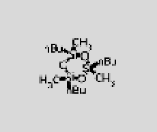 CCCC[Si]1(C)O[Si](C)(CCCC)O[Si](C)(CCCC)O1